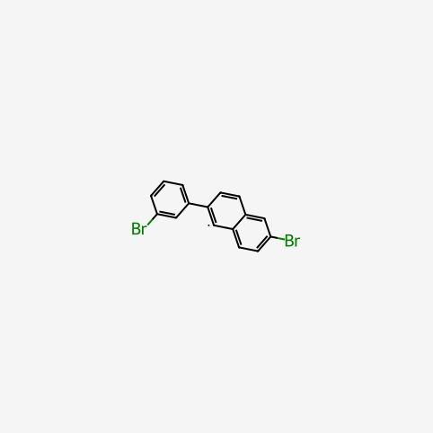 Brc1cccc(-c2[c]c3ccc(Br)cc3cc2)c1